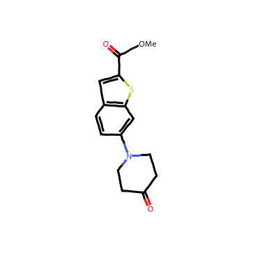 COC(=O)c1cc2ccc(N3CCC(=O)CC3)cc2s1